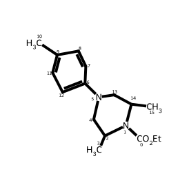 CCOC(=O)N1C(C)CN(c2ccc(C)cc2)CC1C